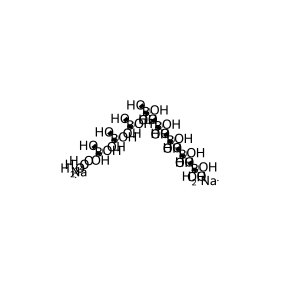 O.O.O.O.OB(O)O.OB(O)O.OB(O)O.OB(O)O.OB(O)O.OB(O)O.OB(O)O.OB(O)O.[Na].[Na]